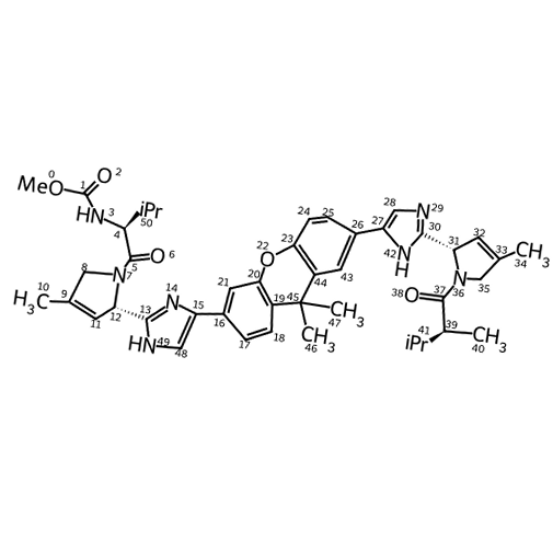 COC(=O)N[C@H](C(=O)N1CC(C)=C[C@H]1c1nc(-c2ccc3c(c2)Oc2ccc(-c4cnc([C@@H]5C=C(C)CN5C(=O)[C@@H](C)C(C)C)[nH]4)cc2C3(C)C)c[nH]1)C(C)C